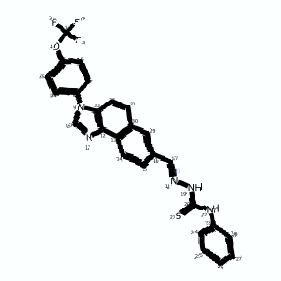 FC(F)(F)Oc1ccc(-n2cnc3c4ccc(/C=N/NC(=S)Nc5ccccc5)cc4ccc32)cc1